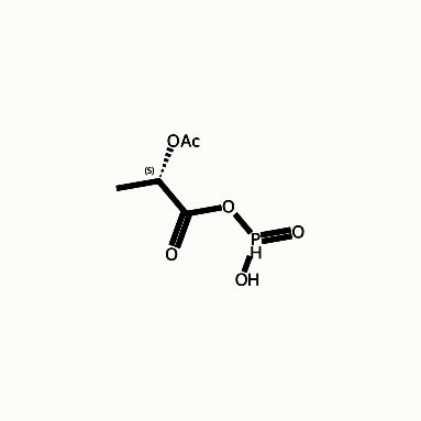 CC(=O)O[C@@H](C)C(=O)O[PH](=O)O